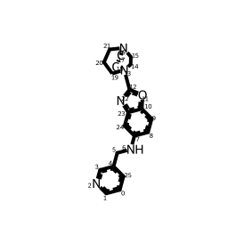 c1cncc(CNc2ccc3oc(N4CCN5CCC4CC5)nc3c2)c1